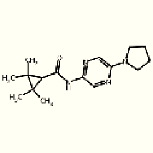 CC1(C)C(C(=O)Nc2cnc(N3CCCC3)cn2)C1(C)C